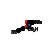 COc1ccc(C2(N3CCC(COc4ccc(-c5ccc(C#N)cc5)cc4)(C(=O)O)C3)COC2)cc1